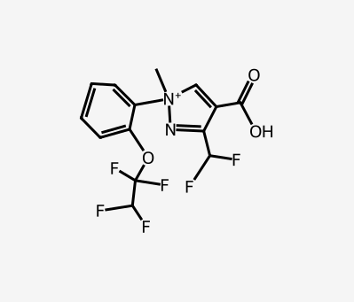 C[N+]1(c2ccccc2OC(F)(F)C(F)F)C=C(C(=O)O)C(C(F)F)=N1